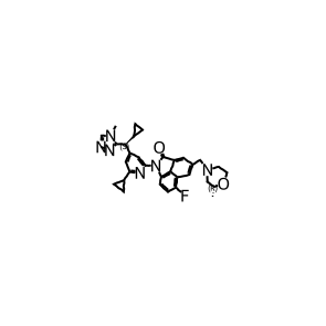 C[C@@H]1CN(Cc2cc3c4c(ccc(F)c4c2)N(c2cc([C@@H](c4nncn4C)C4CC4)cc(C4CC4)n2)C3=O)CCO1